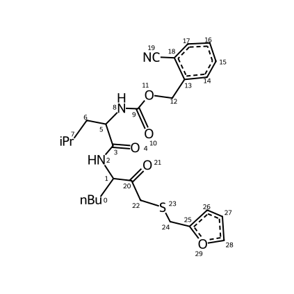 CCCCC(NC(=O)C(CC(C)C)NC(=O)OCc1ccccc1C#N)C(=O)CSCc1ccco1